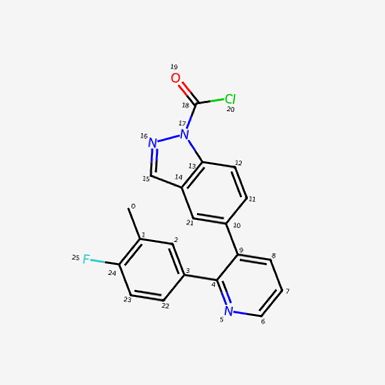 Cc1cc(-c2ncccc2-c2ccc3c(cnn3C(=O)Cl)c2)ccc1F